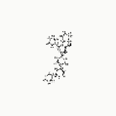 c1ccc(-c2cccc(-c3ccc(-c4nc(-c5ccccc5)c5c(n4)oc4ccccc45)cc3)c2)cc1